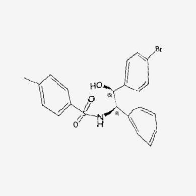 Cc1ccc(S(=O)(=O)N[C@H](c2ccccc2)[C@@H](O)c2ccc(Br)cc2)cc1